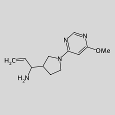 C=CC(N)C1CCN(c2cc(OC)ncn2)C1